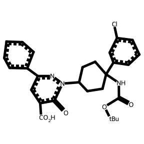 CC(C)(C)OC(=O)NC1(c2cccc(Cl)c2)CCC(n2nc(-c3ccccc3)cc(C(=O)O)c2=O)CC1